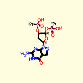 CC(C)P(=O)(O)OC1C[C@H](n2ncc3c(=O)[nH]c(N)nc32)O[C@@H]1OP(=O)(O)C(C)C